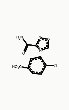 NC(=O)c1ncon1.O=C(O)c1ccc(Cl)cc1